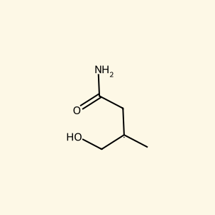 C[C](CO)CC(N)=O